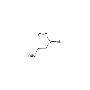 C[CH]N(C=O)CCCCCC